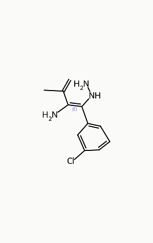 C=C(C)/C(N)=C(\NN)c1cccc(Cl)c1